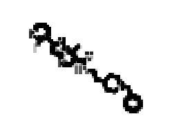 Cc1c(C(=O)NCCC2CCN(Cc3ccccc3)CC2)cnc2cc(-c3cccnc3F)nn12